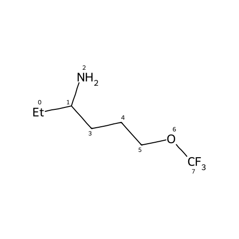 CCC(N)CCCOC(F)(F)F